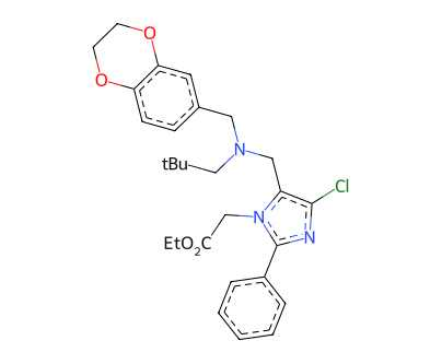 CCOC(=O)Cn1c(-c2ccccc2)nc(Cl)c1CN(Cc1ccc2c(c1)OCCO2)CC(C)(C)C